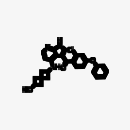 O=C(c1ccc(Oc2ccccc2)cc1Cl)c1c[nH]c2nccc(NC3CC4(CC(O)C4)C3)c12